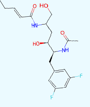 CC/C=C/C(=O)NC(CO)C[C@H](O)[C@H](Cc1cc(F)cc(F)c1)NC(C)=O